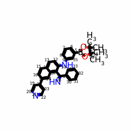 CC1(C)OB(c2cccc(Nc3ccc4ccc(-c5ccncc5)cc4c3C(=N)c3ccccc3)c2)OC1(C)C